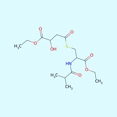 CCOC(=O)C(O)CC(=O)SCC(NC(=O)C(C)C)C(=O)OCC